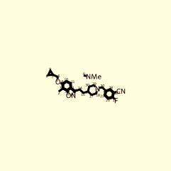 CNC.Cc1c(OCC2CC2)ccc2c(CCC3CCN(Cc4ccc(F)c(C#N)c4)CC3)noc12